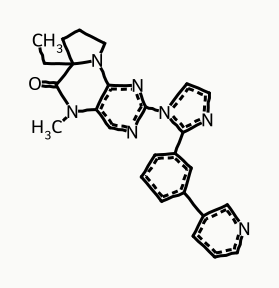 CCC12CCCN1c1nc(-n3ccnc3-c3cccc(-c4cccnc4)c3)ncc1N(C)C2=O